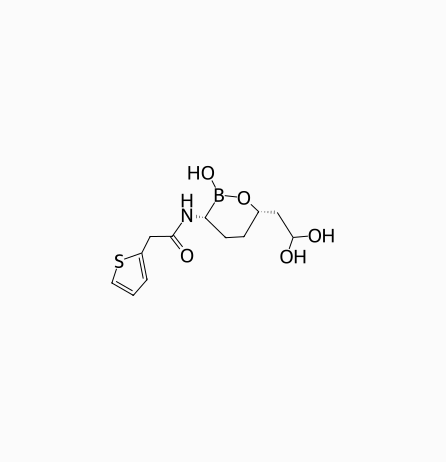 O=C(Cc1cccs1)N[C@H]1CC[C@@H](CC(O)O)OB1O